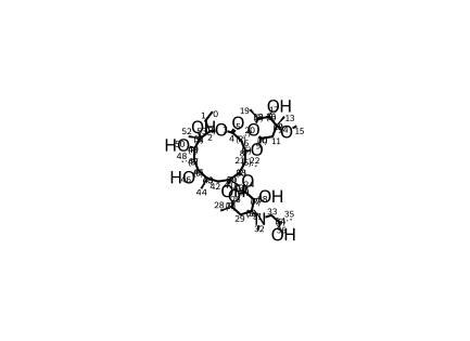 CC[C@H]1OC(=O)[C@H](C)[C@@H](O[C@H]2C[C@@](C)(OC)[C@@H](O)[C@H](C)O2)[C@H](C)[C@@H](O[C@@H]2O[C@H](C)C[C@H](N(C)C[C@H](C)O)[C@H]2O)[C@](C)(O)C[C@@H](C)[C@H](O)[C@H](C)[C@@H](O)[C@]1(C)O